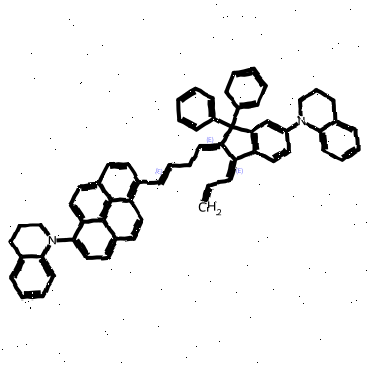 C=C/C=C1\C(=C/C/C=C/c2ccc3ccc4c(N5CCCc6ccccc65)ccc5ccc2c3c54)C(C2=CC=C=CC2)(c2ccccc2)c2cc(N3CCCc4ccccc43)ccc21